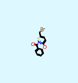 O=C1c2ccccc2OC2=CC=C(CBr)SN12